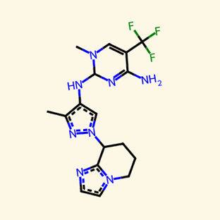 Cc1nn(C2CCCn3ccnc32)cc1NC1N=C(N)C(C(F)(F)F)=CN1C